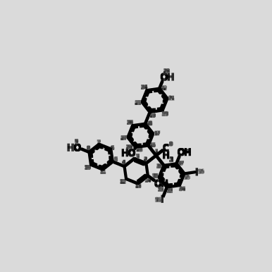 CC(C1=CC(c2ccc(O)cc2)CC=C1O)(c1cc(-c2ccc(O)cc2)ccc1O)c1cc(I)cc(I)c1O